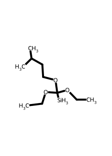 CCOC([SiH3])(OCC)OCCC(C)C